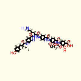 COc1c(NC(=O)c2ccc(NC(=O)c3ccc(NC(=O)C(CCCCN)NC(=O)c4ccc(NC(=O)/C(C)=C/c5ccc(O)cc5)cc4)cc3)c(OC)c2O)ccc(C(=O)O)c1O